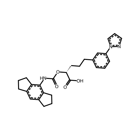 O=C(Nc1c2c(cc3c1CCC3)CCC2)O[C@H](CCCc1cccc(-n2cccn2)c1)C(=O)O